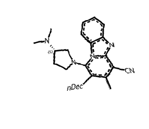 CCCCCCCCCCc1c(C)c(C#N)c2nc3ccccc3n2c1N1CC[C@H](N(C)C)C1